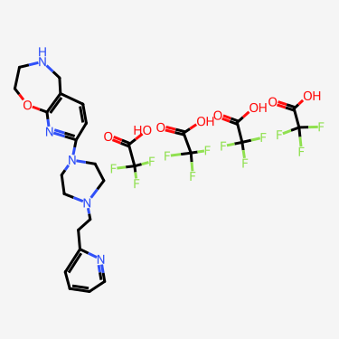 O=C(O)C(F)(F)F.O=C(O)C(F)(F)F.O=C(O)C(F)(F)F.O=C(O)C(F)(F)F.c1ccc(CCN2CCN(c3ccc4c(n3)OCCNC4)CC2)nc1